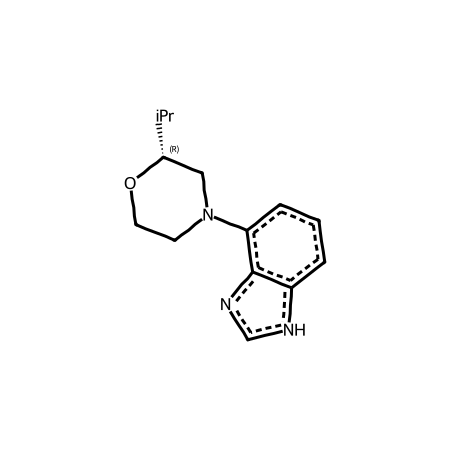 CC(C)[C@@H]1CN(c2cccc3[nH]cnc23)CCO1